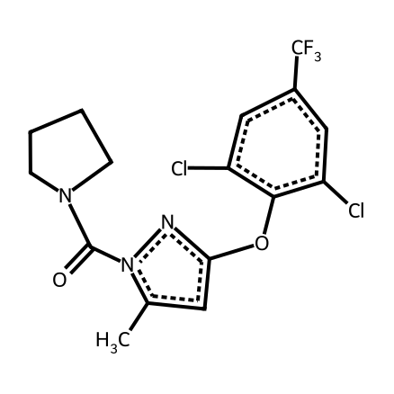 Cc1cc(Oc2c(Cl)cc(C(F)(F)F)cc2Cl)nn1C(=O)N1CCCC1